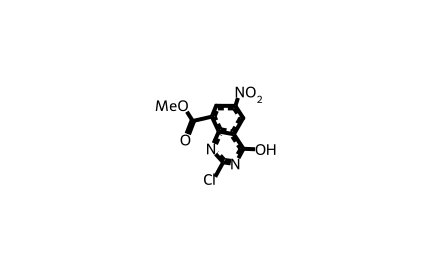 COC(=O)c1cc([N+](=O)[O-])cc2c(O)nc(Cl)nc12